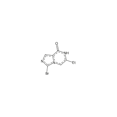 CCc1cn2c(Br)ncc2c(=O)[nH]1